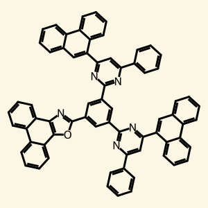 c1ccc(-c2cc(-c3cc4ccccc4c4ccccc34)nc(-c3cc(-c4nc(-c5ccccc5)cc(-c5cc6ccccc6c6ccccc56)n4)cc(-c4nc5c6ccccc6c6ccccc6c5o4)c3)n2)cc1